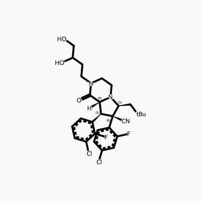 CC(C)(C)C[C@@H]1N2CCN(CCC(O)CO)C(=O)[C@H]2[C@H](c2cccc(Cl)c2F)[C@@]1(C#N)c1ccc(Cl)cc1F